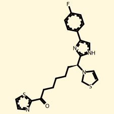 O=C(CCCCC[C@@H](c1nc(-c2ccc(F)cc2)c[nH]1)N1C=CSC1)c1nccs1